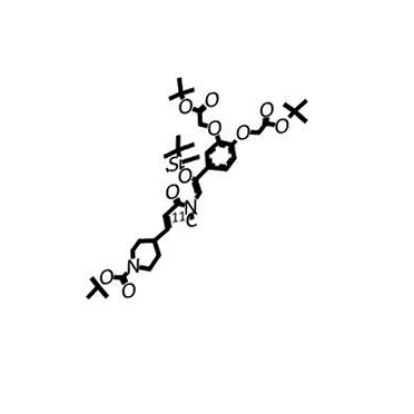 CC(C)(C)OC(=O)COc1ccc(/C(=C/N([11CH3])C(=O)/C=C/C2CCN(C(=O)OC(C)(C)C)CC2)O[Si](C)(C)C(C)(C)C)cc1OCC(=O)OC(C)(C)C